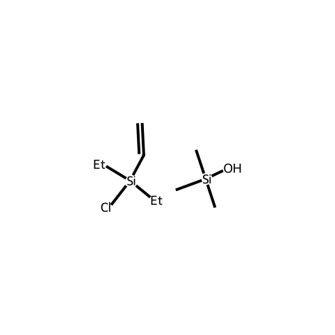 C=C[Si](Cl)(CC)CC.C[Si](C)(C)O